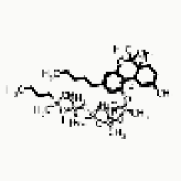 CCCCCc1cc2c(c(O[Si](C)(C)O[Si](C)(C)O[Si](C)(C)O[Si](C)(C)O[Si](C)(C)CCCC)c1)[C@@H]1C=C(C)CC[C@H]1C(C)(C)O2